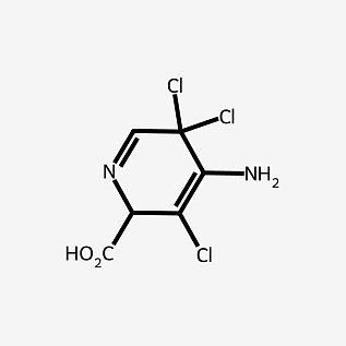 NC1=C(Cl)C(C(=O)O)N=CC1(Cl)Cl